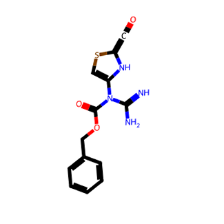 N=C(N)N(C(=O)OCc1ccccc1)C1=CSC(=C=O)N1